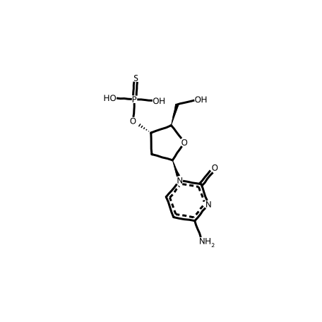 Nc1ccn([C@H]2C[C@H](OP(O)(O)=S)[C@@H](CO)O2)c(=O)n1